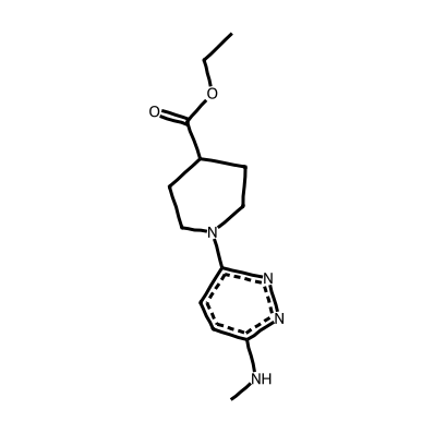 CCOC(=O)C1CCN(c2ccc(NC)nn2)CC1